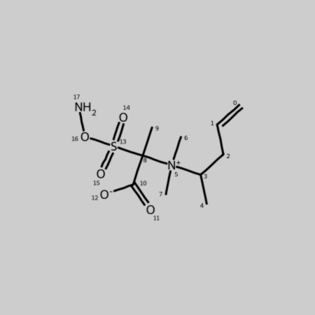 C=CCC(C)[N+](C)(C)C(C)(C(=O)[O-])S(=O)(=O)ON